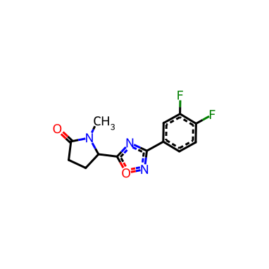 CN1C(=O)CCC1c1nc(-c2ccc(F)c(F)c2)no1